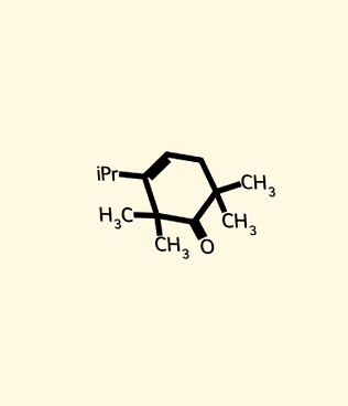 CC(C)C1=CCC(C)(C)C(=O)C1(C)C